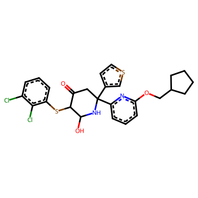 O=C1CC(c2ccsc2)(c2cccc(OCC3CCCC3)n2)NC(O)C1Sc1cccc(Cl)c1Cl